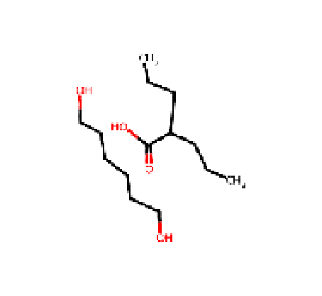 CCCC(CCC)C(=O)O.OCCCCCCO